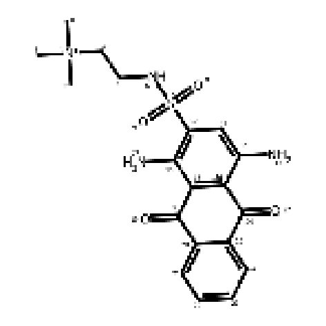 C[N+](C)(C)CCNS(=O)(=O)c1cc(N)c2c(c1N)C(=O)c1ccccc1C2=O